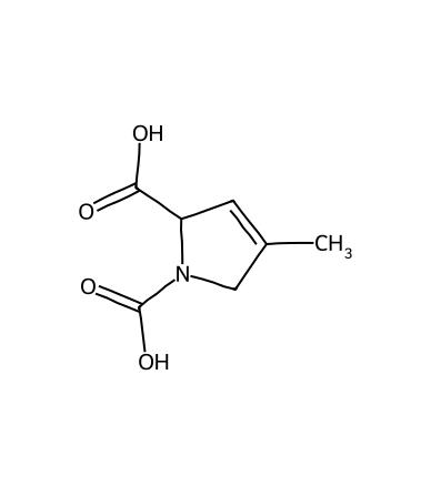 CC1=CC(C(=O)O)N(C(=O)O)C1